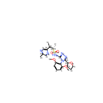 COc1cccc(OC)c1-n1c(NS(=O)(=O)[C@@H](C)[C@H](C)c2cnc(C)cn2)nnc1C1CCCO1